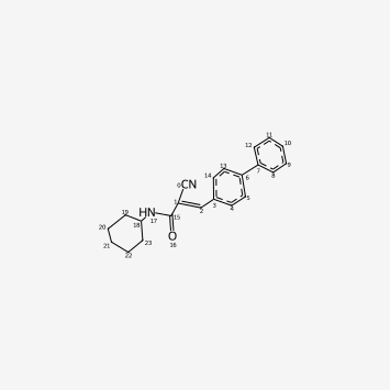 N#C/C(=C\c1ccc(-c2ccccc2)cc1)C(=O)NC1CCCCC1